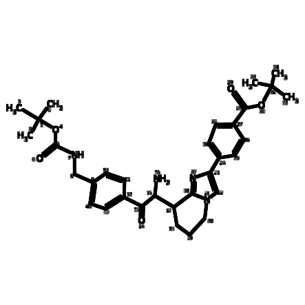 CC(C)(C)OC(=O)NCc1ccc(C(=O)C(N)C2CCCn3cc(-c4ccc(C(=O)OC(C)(C)C)cc4)nc32)cc1